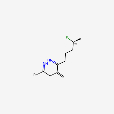 C=C(CC(=N)C(C)C)C(=N)CCC[C@H](C)F